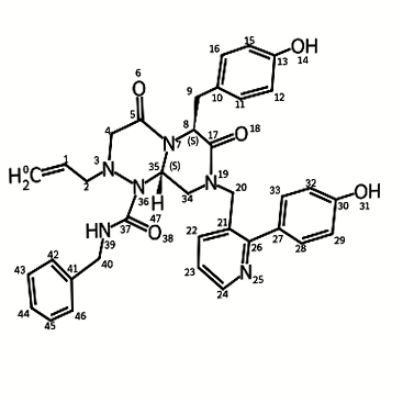 C=CCN1CC(=O)N2[C@@H](Cc3ccc(O)cc3)C(=O)N(Cc3cccnc3-c3ccc(O)cc3)C[C@@H]2N1C(=O)NCc1ccccc1